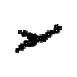 CCNc1ccc(S(=O)(=O)N2Cc3cc4c(cc3CC2C(=O)N[C@@H](Cc2ccc(-c3ccc(C#N)cc3)cc2)C(=O)O)OC[C@H](c2ccc(OCc3ccc(Cl)c(Cl)c3)cc2)O4)c(C)n1